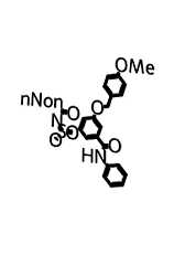 CCCCCCCCCC(=O)N=S(=O)=O.COc1ccc(COc2cccc(C(=O)Nc3ccccc3)c2)cc1